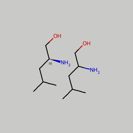 CC(C)CC(N)CO.CC(C)C[C@H](N)CO